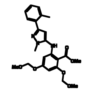 COCOc1cc(Nc2cc(-c3ccccc3C)nn2C)c(C(=O)OC)c(OCOC)c1